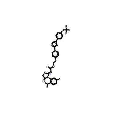 Cc1ccc(C(C)C)c(N2C(=O)CS/C2=N\C(=O)OCCc2ccc(-c3ncn(-c4ccc(OC(F)(F)F)cc4)n3)cc2)c1